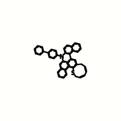 C1=C\CSc2ccc(-c3c(N(c4ccc(-c5ccccc5)cc4)c4ccc5ccccc5c4)ccc4ccccc34)cc2C\C=C/1